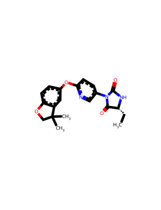 CC[C@H]1NC(=O)N(c2ccc(Oc3ccc4c(c3)C(C)(C)CO4)nc2)C1=O